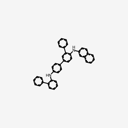 c1ccc(-c2ccccc2Nc2ccc(-c3ccc(Nc4ccc5ccccc5c4)c(-c4ccccc4)c3)cc2)cc1